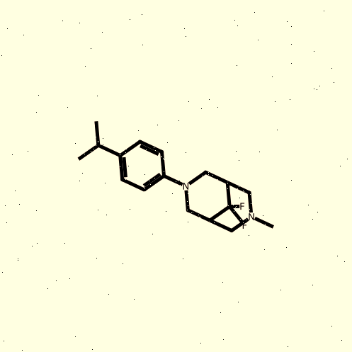 CC(C)c1ccc(N2CC3CN(C)CC(C2)C3(F)F)cc1